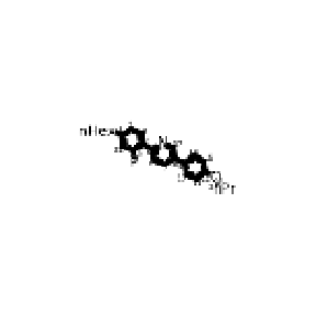 CCCCCCc1ccc(-c2ccc(-c3ccc(OCCC)cc3)cn2)c(F)c1